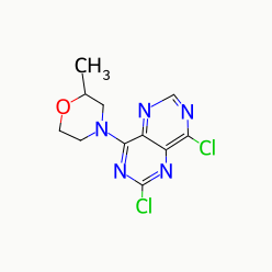 CC1CN(c2nc(Cl)nc3c(Cl)ncnc23)CCO1